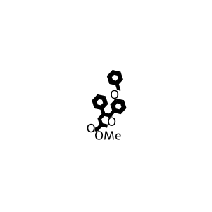 COC(=O)C(C)CC(C(=O)c1cccc(OCc2ccccc2)c1)c1ccccc1